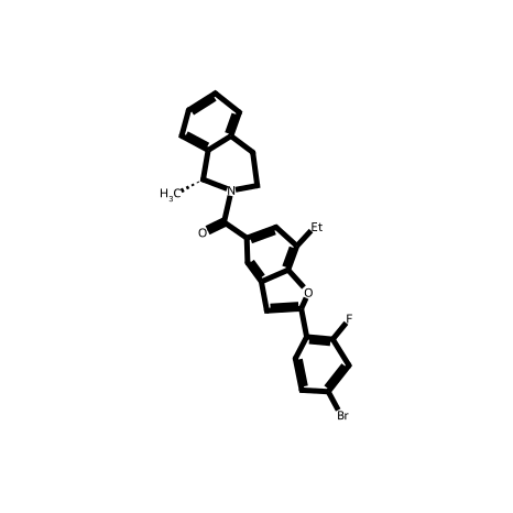 CCc1cc(C(=O)N2CCc3ccccc3[C@H]2C)cc2cc(-c3ccc(Br)cc3F)oc12